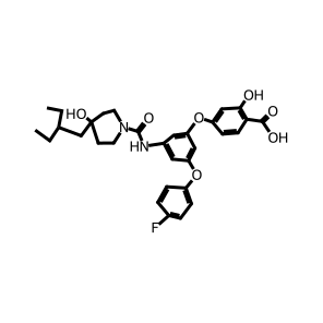 CCC(CC)CC1(O)CCN(C(=O)Nc2cc(Oc3ccc(F)cc3)cc(Oc3ccc(C(=O)O)c(O)c3)c2)CC1